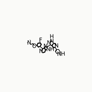 CN(C)CCOc1cc(F)cc(-c2nccc3[nH]c(-c4n[nH]c5cnc(C6=CCNCC6)cc45)nc23)c1